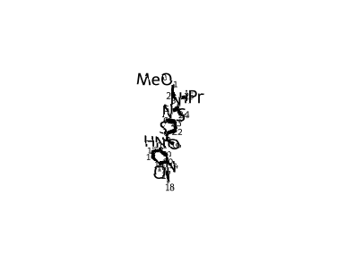 COCCN(c1nc2sc(C(=O)Nc3ccc4oc(C)nc4c3)cc2s1)C(C)C